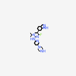 CC(C)N1C=C(c2ccc3cn[nH]c3c2)C(F)=NC1Nc1ccc(N2CCNCC2)cn1